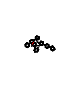 c1ccc(-c2ccc(-c3ccc(N(c4ccccc4-c4ccc(-c5ccccc5)cc4)c4ccnc5c4oc4ccccc45)cc3)cc2)cc1